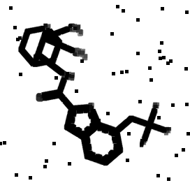 CC1(C)C(NC(=O)c2cc3cccc(CC(F)(F)F)c3s2)C2CCN1CC2